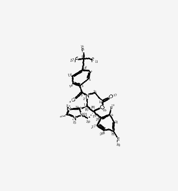 C[C@H]1N(C(=O)c2ccc(C(F)(F)F)cc2)CC(=O)O[C@@]1(Cn1cncn1)c1ccc(F)cc1F